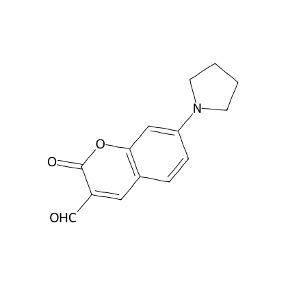 O=Cc1cc2ccc(N3CCCC3)cc2oc1=O